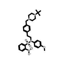 COc1ccc(N(CCc2ccc(CN3CCN(C(C)(C)C)CC3)cc2)S(=O)(=O)c2ccccc2[N+](=O)[O-])cc1